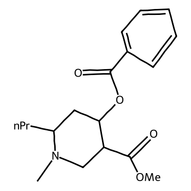 CCCC1CC(OC(=O)c2ccccc2)C(C(=O)OC)CN1C